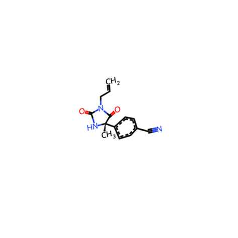 C=CCN1C(=O)N[C@@](C)(c2ccc(C#N)cc2)C1=O